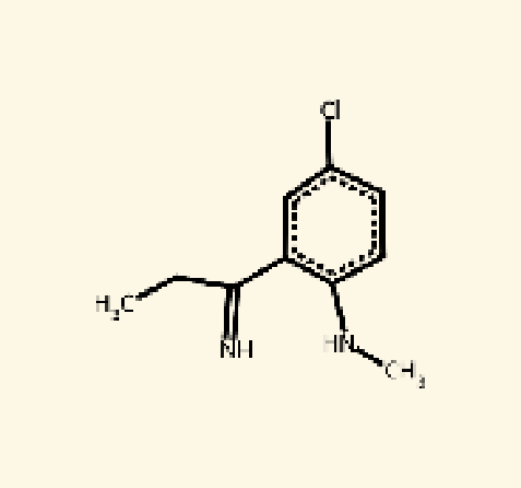 CCC(=N)c1cc(Cl)ccc1NC